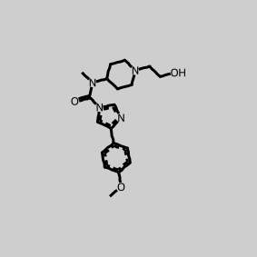 COc1ccc(-c2cn(C(=O)N(C)C3CCN(CCO)CC3)cn2)cc1